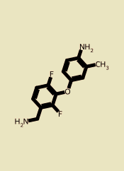 Cc1cc(Oc2c(F)ccc(CN)c2F)ccc1N